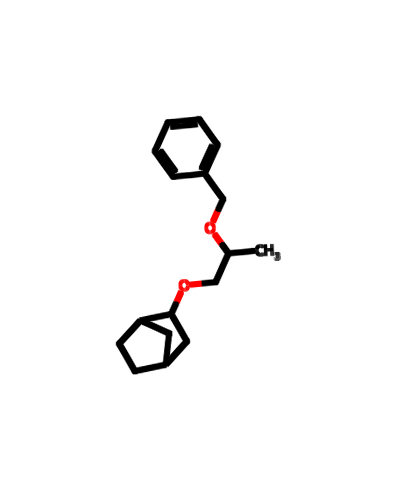 CC(COC1CC2CCC1C2)OCc1ccccc1